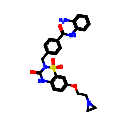 Nc1ccccc1NC(=O)c1ccc(CN2C(=O)Nc3ccc(OCCN4CC4)cc3S2(=O)=O)cc1